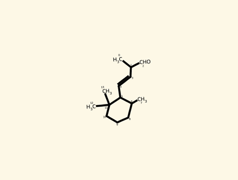 CC(C=O)/C=C/C1C(C)CCCC1(C)C